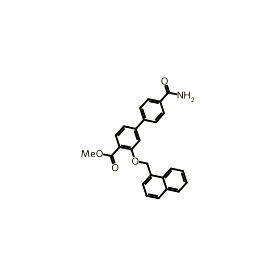 COC(=O)c1ccc(-c2ccc(C(N)=O)cc2)cc1OCc1cccc2ccccc12